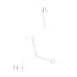 CC(C)CSC(C)[O]